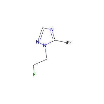 CC(C)c1ncnn1CCF